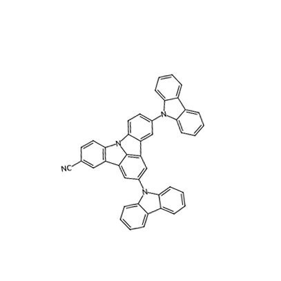 N#Cc1ccc2c(c1)c1cc(-n3c4ccccc4c4ccccc43)cc3c4cc(-n5c6ccccc6c6ccccc65)ccc4n2c13